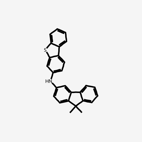 CC1(C)c2ccccc2-c2cc(Nc3ccc4c(c3)sc3ccccc34)ccc21